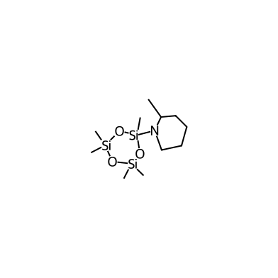 CC1CCCCN1[Si]1(C)O[Si](C)(C)O[Si](C)(C)O1